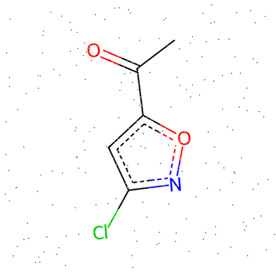 CC(=O)c1cc(Cl)no1